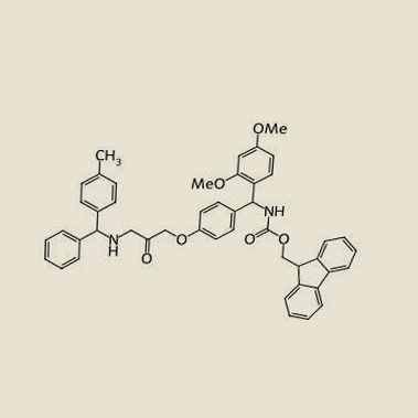 COc1ccc(C(NC(=O)OCC2c3ccccc3-c3ccccc32)c2ccc(OCC(=O)CNC(c3ccccc3)c3ccc(C)cc3)cc2)c(OC)c1